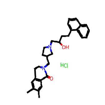 Cc1cc2c(cc1C)C(=O)N(CC1CCN(CC(O)CCc3cccc4ccccc34)C1)CC2.Cl